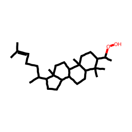 CC(C)=CCCC(C)C1CCC2C3CCC4C(C)(C)C(C(C)OO)CCC4(C)C3CCC12C